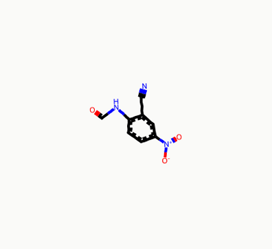 N#Cc1cc([N+](=O)[O-])ccc1NC=O